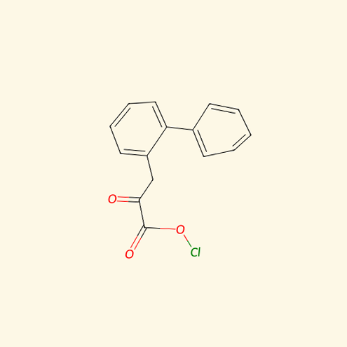 O=C(Cc1ccccc1-c1ccccc1)C(=O)OCl